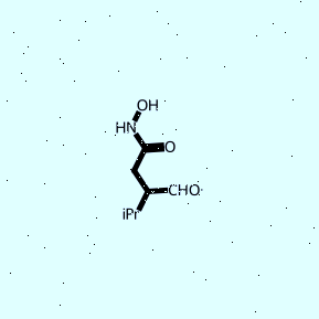 CC(C)C([C]=O)CC(=O)NO